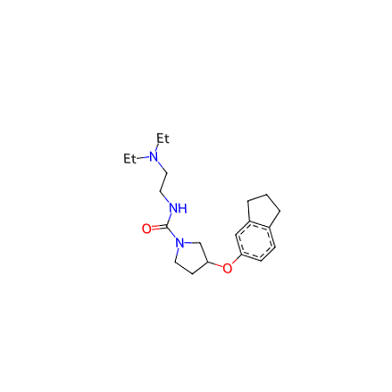 CCN(CC)CCNC(=O)N1CCC(Oc2ccc3c(c2)CCC3)C1